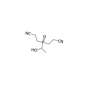 CC(O)P(=O)(CCC#N)CCC#N